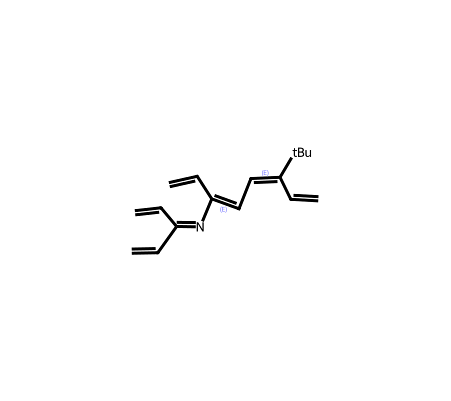 C=CC(C=C)=N/C(C=C)=C/C=C(\C=C)C(C)(C)C